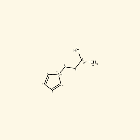 C[C@@H](O)CC[SH]1C=CC=C1